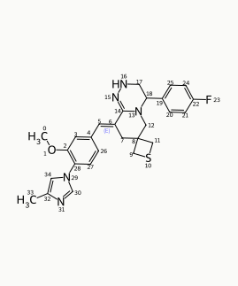 COc1cc(/C=C2\CC3(CSC3)CN3C2=NNCC3c2ccc(F)cc2)ccc1-n1cnc(C)c1